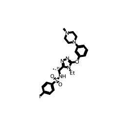 CCn1c(Oc2cccc(N3CCN(C)CC3)c2)nnc1[C@@H](C)NS(=O)(=O)c1ccc(I)cc1